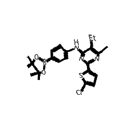 CCc1c(C)nc(-c2ccc(Cl)s2)nc1Nc1ccc(B2OC(C)(C)C(C)(C)O2)cc1